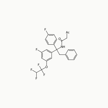 CC(=O)CC(=O)NC(Cc1ccccc1)(c1ccc(F)cc1)c1cc(F)cc(OC(F)(F)C(F)F)c1